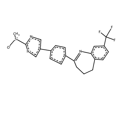 C[S+]([O-])c1ncc(-c2ccc(C3=Nc4cc(C(F)(F)F)ccc4CCC3)cc2)cn1